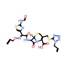 C=CCON=C(C(=O)NC1C(=O)N2C(C(=O)O)=C(CSc3nnnn3CC=C)CS[C@@H]12)c1csc(NC=O)n1